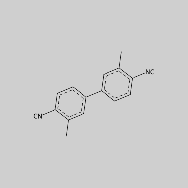 [C-]#[N+]c1ccc(-c2ccc([N+]#[C-])c(C)c2)cc1C